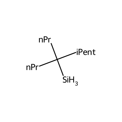 CCCC(C)C([SiH3])(CCC)CCC